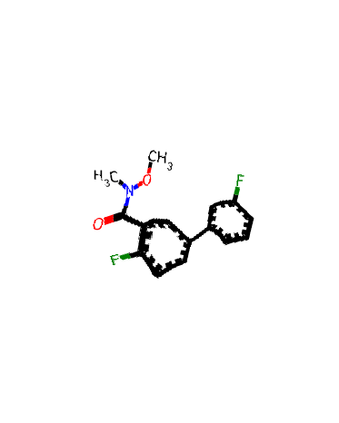 CON(C)C(=O)c1cc(-c2cccc(F)c2)ccc1F